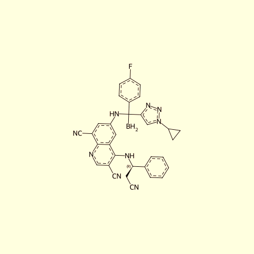 BC(Nc1cc(C#N)c2ncc(C#N)c(N[C@H](CC#N)c3ccccc3)c2c1)(c1ccc(F)cc1)c1cn(C2CC2)nn1